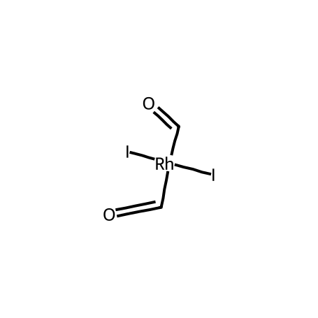 O=[CH][Rh]([I])([I])[CH]=O